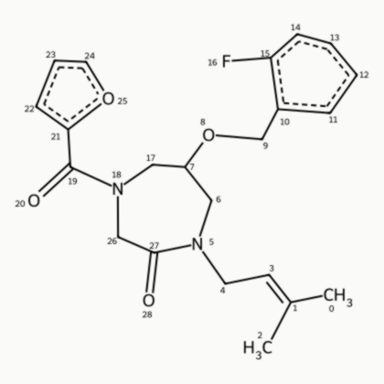 CC(C)=CCN1CC(OCc2ccccc2F)CN(C(=O)c2ccco2)CC1=O